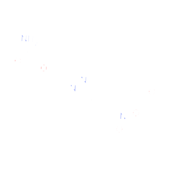 NC(=O)COCCn1cc2cc([N+](=O)[O-])c(-c3ccoc3)cc2n1